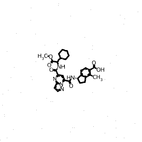 COC(=O)C(NC(=O)c1cc(C(=O)N[C@H]2CCc3c2ccc(C(=O)O)c3C)n2nccc2n1)C1CCCCC1